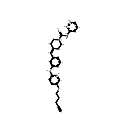 C#CCCCOc1ccc(Oc2cccc(C=C3CCN(C(=O)Nc4cccnn4)CC3)c2)nc1